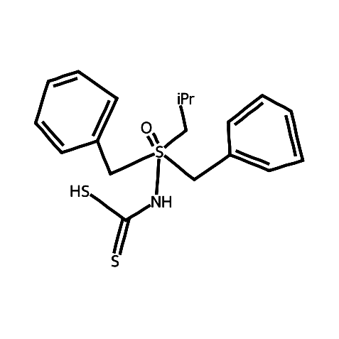 CC(C)CS(=O)(Cc1ccccc1)(Cc1ccccc1)NC(=S)S